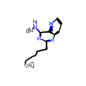 CC(C)(C)Nc1nc(CCCCC=O)nc2cccnc12